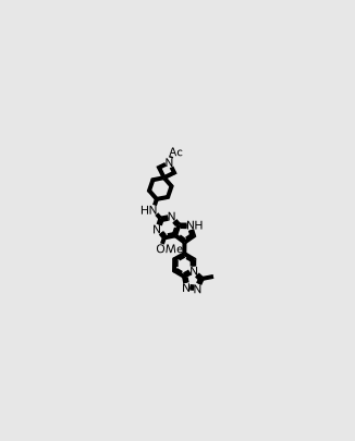 COc1nc(NC2CCC3(CC2)CN(C(C)=O)C3)nc2[nH]cc(-c3ccc4nnc(C)n4c3)c12